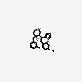 Cc1cccc(CC2(C#N)CCNCC2C(Cc2ccc(C#N)cc2)c2cnc[nH]2)c1